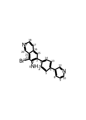 Nc1c(-c2ccc(-c3cccnc3)cc2)cc2ccncc2c1Br